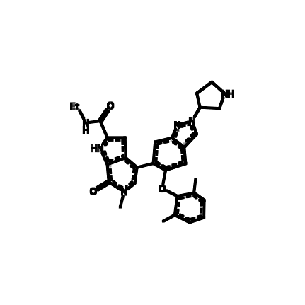 CCNC(=O)c1cc2c(-c3cc4nn(C5CCNC5)cc4cc3Oc3c(C)cccc3C)cn(C)c(=O)c2[nH]1